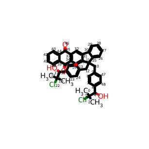 CC(C)(Cl)C(O)c1ccc(CC2(Cc3ccc(C(O)C(C)(C)Cl)cc3)c3ccccc3-c3cc4c(cc32)C(=O)c2ccccc2C4=O)cc1